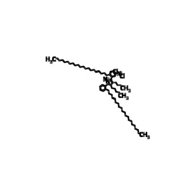 CCCCCCCCCCCCCCCCC=CCCCc1ccccc1C1=C(CCCC)C(CCCCC)=C(c2ccccc2CCCC=CCCCCCCCCCCCCCCCC)[N+]1=[N-].[Cl][Ni][Cl]